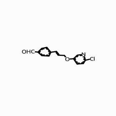 O=Cc1ccc(C=CCOc2ccc(Cl)nc2)cc1